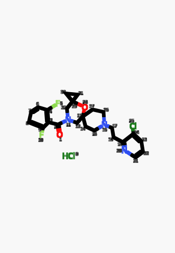 Cl.O=C(c1c(F)cccc1F)N1CC2(CCN(CCc3ncccc3Cl)CC2)OC2(CC2)C1